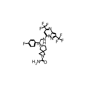 NC(=O)N1CC2(CCN([C@H](CNc3cc(C(F)(F)F)nc4cc(C(F)(F)F)nn34)c3ccc(F)cc3)C2)C1